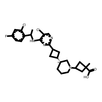 CC(Nc1nc(C2CC([C@H]3CCCN(C4CC(C)(C(=O)O)C4)C3)C2)ncc1Cl)c1ccc(F)cc1Cl